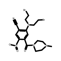 CN1CCN(C(=O)c2cc(N(CCBr)CCBr)c(C#N)cc2[N+](=O)[O-])CC1